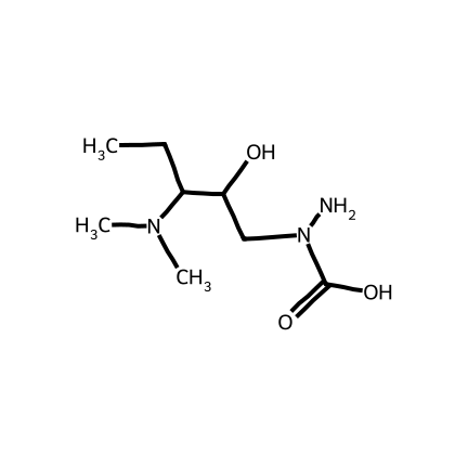 CCC(C(O)CN(N)C(=O)O)N(C)C